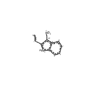 C=Cc1[nH]c2ccccc2c1[N+](=O)[O-]